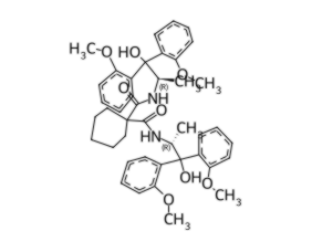 COc1ccccc1C(O)(c1ccccc1OC)[C@@H](C)NC(=O)C1(C(=O)N[C@H](C)C(O)(c2ccccc2OC)c2ccccc2OC)CCCCC1